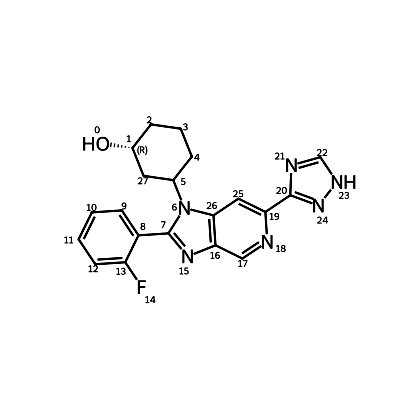 O[C@@H]1CCCC(n2c(-c3ccccc3F)nc3cnc(-c4nc[nH]n4)cc32)C1